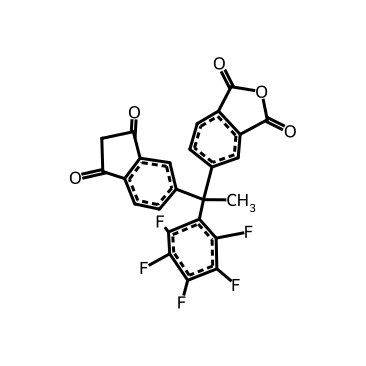 CC(c1ccc2c(c1)C(=O)CC2=O)(c1ccc2c(c1)C(=O)OC2=O)c1c(F)c(F)c(F)c(F)c1F